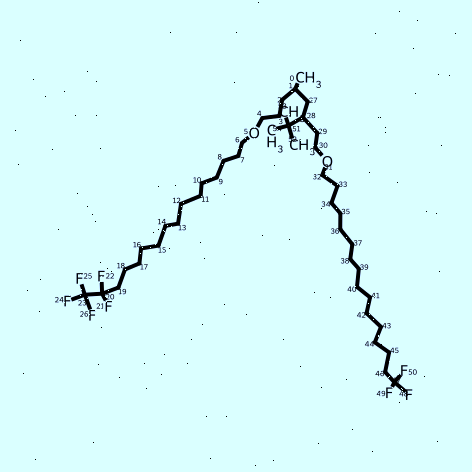 CC(CCCOCCCCCCCCCCCCCCC(F)(F)C(F)(F)F)CC(CCOCCCCCCCCCCCCCCCC(F)(F)F)C(C)(C)C